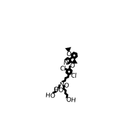 O=C(C(O)CCCCO)N(CCCCc1cc(Cl)c(COC2(c3cnccc3-c3ccccc3OC3CC3)CC2)cc1Cl)CCOCCO